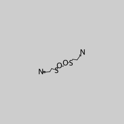 N#CCCSOCOSCCC#N